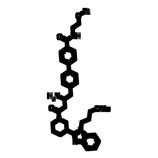 CCOCCNC(=O)c1ccc(-c2ccc(CC(N)CC(=O)N3CCCC(c4nc5ccccc5n4CCCOC)C3)cc2)cc1